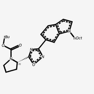 CCCCCCCCn1ccc2ccc(-c3noc([C@@H]4CCCN4C(=O)OC(C)(C)C)n3)cc21